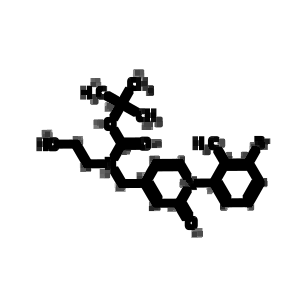 Cc1c(Br)cccc1-n1ccc(CN(CCO)C(=O)OC(C)(C)C)cc1=O